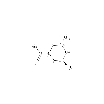 C[C@H]1CN(C(=O)C(C)(C)C)C[C@H](C)O1